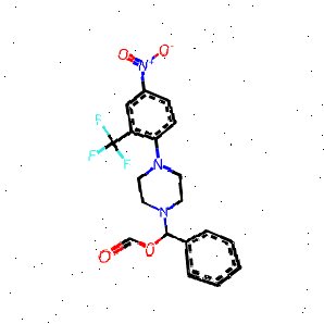 O=COC(c1ccccc1)N1CCN(c2ccc([N+](=O)[O-])cc2C(F)(F)F)CC1